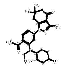 CC1(C)CC(=O)c2c(C(F)(F)F)nn(-c3ccc(C(N)=O)c(N(CC(=O)O)C4CCC(O)CC4)c3)c2C1